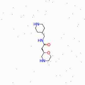 O=C(C[C@@H]1CNCCO1)NCC1CCNCC1